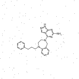 Nc1nc(N2CCN(CCCc3ccccc3)c3ccccc3C2)c2cn[nH]c2n1